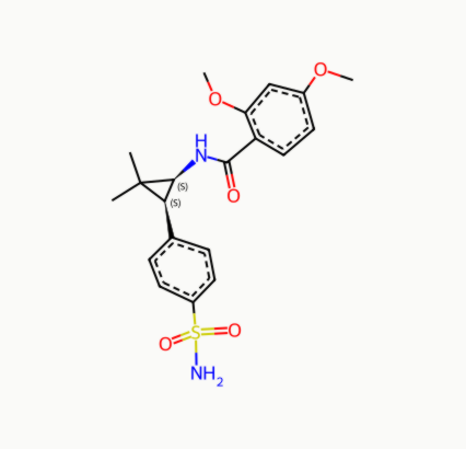 COc1ccc(C(=O)N[C@H]2[C@@H](c3ccc(S(N)(=O)=O)cc3)C2(C)C)c(OC)c1